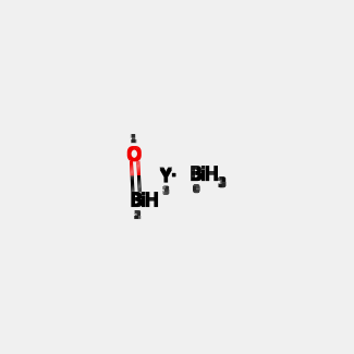 [BiH3].[O]=[BiH].[Y]